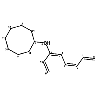 C=C/C=C\C=C(\BC1CCCCCCC1)C=C